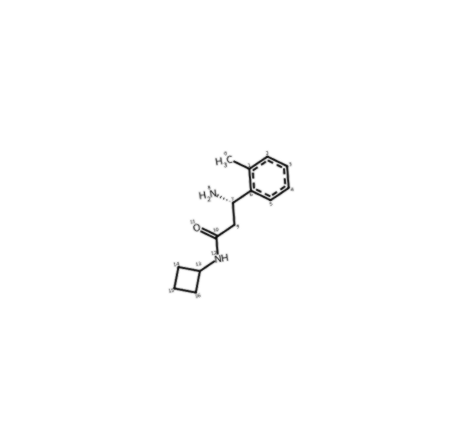 Cc1ccccc1[C@@H](N)CC(=O)NC1CCC1